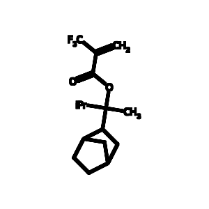 C=C(C(=O)OC(C)(C(C)C)C1CC2CCC1C2)C(F)(F)F